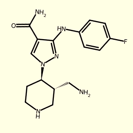 NC[C@@H]1CNCC[C@H]1n1cc(C(N)=O)c(Nc2ccc(F)cc2)n1